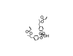 C=CC(=O)OC(C)Cc1ccc(OP(=O)(O)Oc2ccc(CC(C)OC(=O)C=C)cc2)cc1